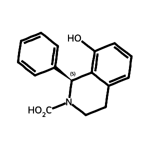 O=C(O)N1CCc2cccc(O)c2[C@@H]1c1ccccc1